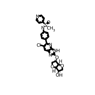 CS(=O)(=Nc1ccc(-c2nc3[nH]c(O[C@@H]4CO[C@H]5[C@@H]4OC[C@H]5O)nc3cc2Cl)cc1)c1ccncc1